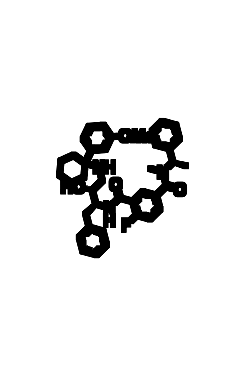 COc1cccc(C2(NC[C@@H](O)[C@H](Cc3ccccc3)NC(=O)c3cc(C(=O)N(C)[C@H](C)c4ccccc4)ccc3F)CCCCC2)c1